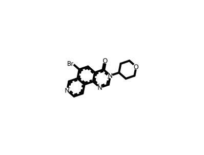 O=c1c2cc(Br)c3cnccc3c2ncn1C1CCOCC1